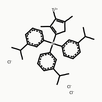 CC1=[C]([Ti+3])C(C)=C([Si](c2cccc(C(C)C)c2)(c2cccc(C(C)C)c2)c2cccc(C(C)C)c2)C1.[Cl-].[Cl-].[Cl-]